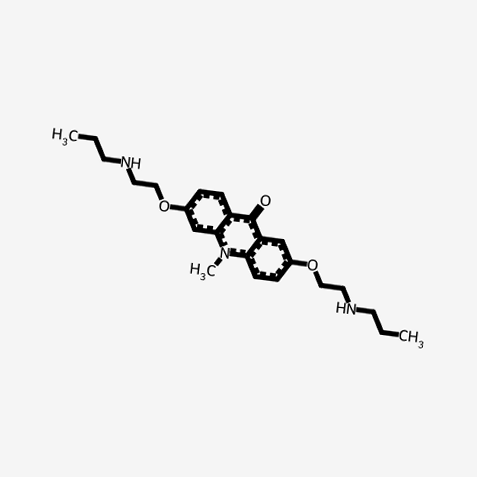 CCCNCCOc1ccc2c(c1)c(=O)c1ccc(OCCNCCC)cc1n2C